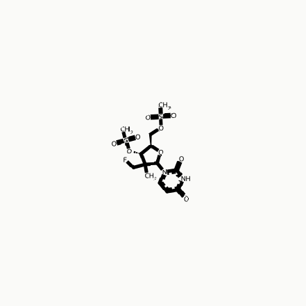 CC1(CF)C(n2ccc(=O)[nH]c2=O)O[C@H](COS(C)(=O)=O)[C@H]1OS(C)(=O)=O